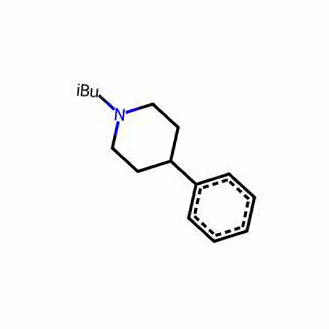 CCC(C)N1CCC(c2ccccc2)CC1